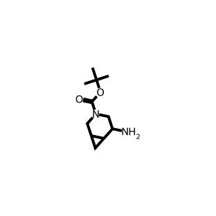 CC(C)(C)OC(=O)N1CC(N)C2CC2C1